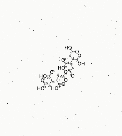 O=C(O)CC(C(=O)O)C(CC(=O)OC(=O)CC(C(=O)O)C(CC(=O)O)C(=O)O)C(=O)O